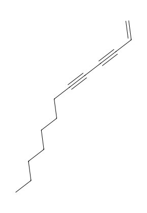 C=CC#CC#CCCCCCCC